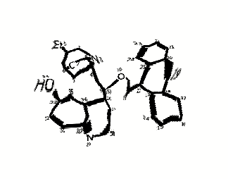 CCC1CN2CCC1CC2[C@@H](OCc1c2ccccc2cc2ccccc12)c1ccnc2ccc(O)cc12